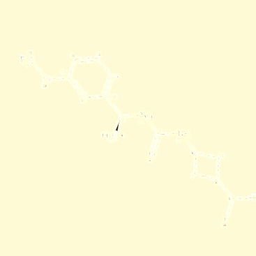 C[C@H](NC(=O)NC1CC(C(F)F)C1)c1cccc(OC(F)(F)F)c1